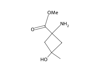 COC(=O)C1(N)CC(C)(O)C1